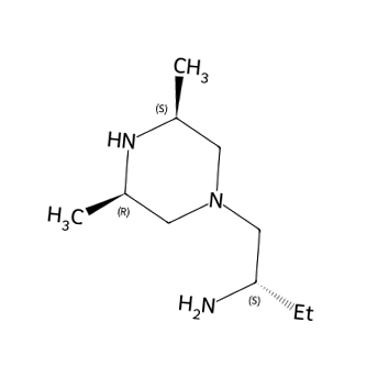 CC[C@H](N)CN1C[C@@H](C)N[C@@H](C)C1